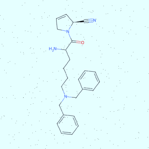 N#C[C@@H]1C=CCN1C(=O)C(N)CCCCN(Cc1ccccc1)Cc1ccccc1